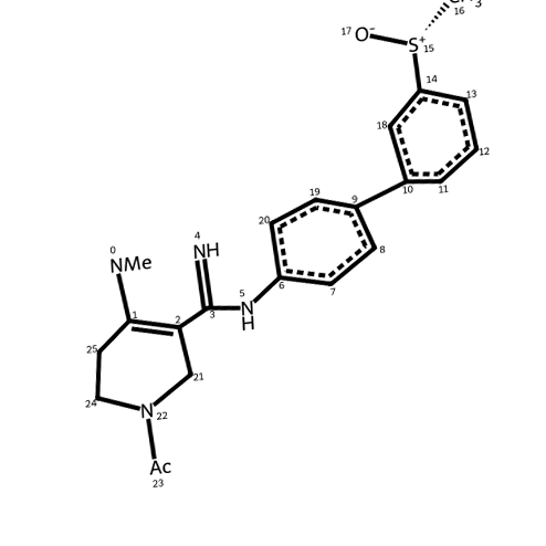 CNC1=C(C(=N)Nc2ccc(-c3cccc([S@@+](C)[O-])c3)cc2)CN(C(C)=O)CC1